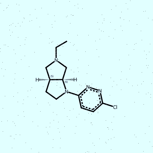 CCN1C[C@@H]2CCN(c3ccc(Cl)nn3)[C@@H]2C1